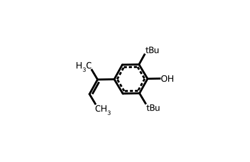 C/C=C(/C)c1cc(C(C)(C)C)c(O)c(C(C)(C)C)c1